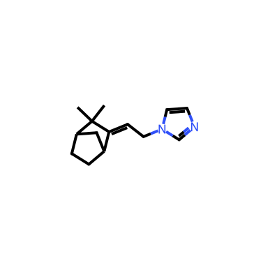 CC1(C)/C(=C/Cn2ccnc2)C2CCC1C2